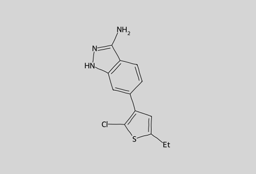 CCc1cc(-c2ccc3c(N)n[nH]c3c2)c(Cl)s1